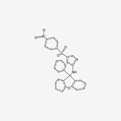 O=[N+]([O-])c1ccc(S(=O)(=O)c2cnc(NC(c3ccccc3)(c3ccccc3)c3ccccc3Cl)s2)cc1